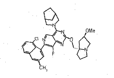 CO[C@H]1CN2CCC[C@@]2(COc2nc(N3CC4CCC(C4)C3)c3cnc(-c4cc(C)cc5cccc(Cl)c45)c(F)c3n2)C1